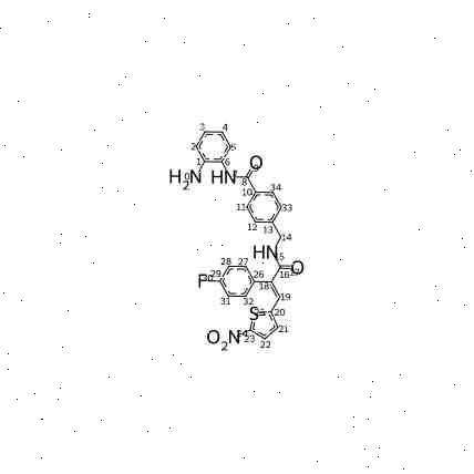 Nc1ccccc1NC(=O)c1ccc(CNC(=O)/C(=C/c2ccc([N+](=O)[O-])s2)c2ccc(F)cc2)cc1